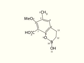 COc1c(C)cc2c(c1C(=O)O)OB(O)CC2